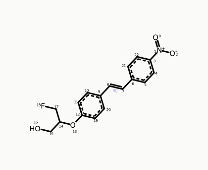 O=[N+]([O-])c1ccc(/C=C/c2ccc(OC(CO)CF)cc2)cc1